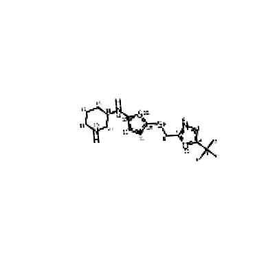 CC(C)(C)c1cnc(CSc2ccc(N[C@@H]3CCCNC3)s2)o1